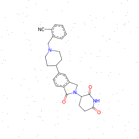 N#Cc1ccccc1CN1CCC(c2ccc3c(c2)CN(C2CCC(=O)NC2=O)C3=O)CC1